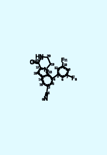 N#Cc1cc(-c2cc(F)cc(F)c2)c2c(c1)cc1n2CCNC1=O